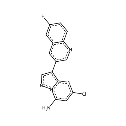 Nc1cc(Cl)nc2c(-c3cnc4ccc(F)cc4c3)cnn12